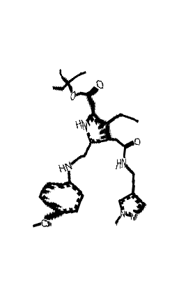 CCc1c(C(=O)OC(C)(C)C)[nH]c(CNc2ccc(OC)cc2)c1C(=O)NCc1cnn(C)c1